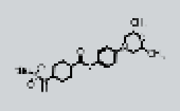 CC1CN(c2ccc(NC(=O)C3CCC(NS(=O)(=O)C(C)(C)C)CC3)cc2)C[C@H](C)O1